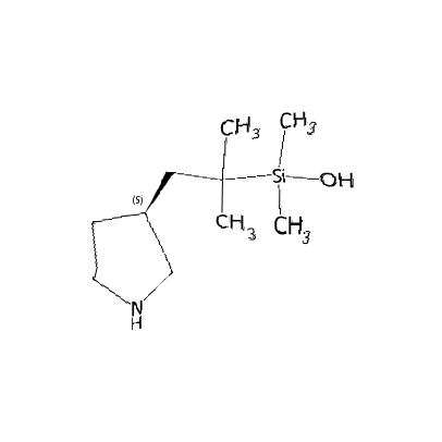 CC(C)(C[C@@H]1CCNC1)[Si](C)(C)O